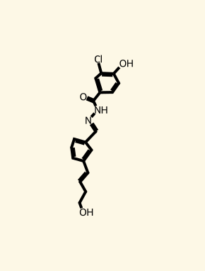 O=C(N/N=C/c1cccc(/C=C/CCO)c1)c1ccc(O)c(Cl)c1